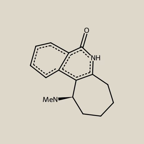 CN[C@@H]1CCCCc2[nH]c(=O)c3ccccc3c21